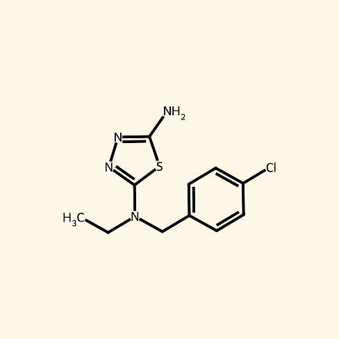 CCN(Cc1ccc(Cl)cc1)c1nnc(N)s1